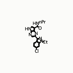 CCCNC(=O)c1c[nH]c2ncc(-c3nn(CC)c4cc(Cl)ccc34)nc12